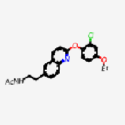 CCOc1ccc(Oc2ccc3cc(CCNC(C)=O)ccc3n2)c(Cl)c1